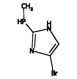 CPc1nc(Br)c[nH]1